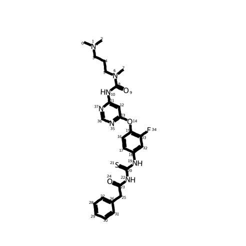 CN(C)CCCN(C)C(=O)Nc1cc(Oc2ccc(NC(=S)NC(=O)Cc3ccccc3)cc2F)ncn1